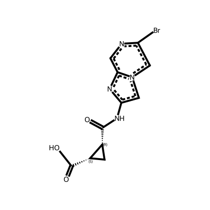 O=C(O)[C@H]1C[C@H]1C(=O)Nc1cn2cc(Br)ncc2n1